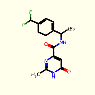 Cc1nc(C(=O)NC(C2=CC=C(C(F)F)CC2)C(C)(C)C)cc(=O)[nH]1